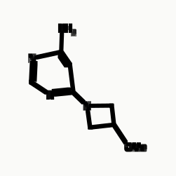 COC1CN(c2cc(N)ncn2)C1